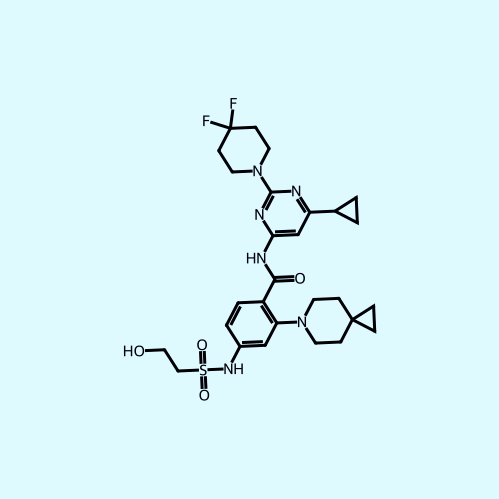 O=C(Nc1cc(C2CC2)nc(N2CCC(F)(F)CC2)n1)c1ccc(NS(=O)(=O)CCO)cc1N1CCC2(CC1)CC2